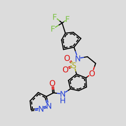 O=C(Nc1ccc2c(c1)S(=O)(=O)N(c1ccc(C(F)(F)F)cc1)CCO2)c1cccnn1